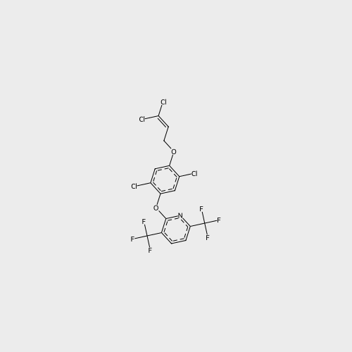 FC(F)(F)c1ccc(C(F)(F)F)c(Oc2cc(Cl)c(OCC=C(Cl)Cl)cc2Cl)n1